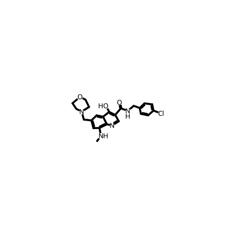 CNc1cc(CN2CCOCC2)cc2c(O)c(C(=O)NCc3ccc(Cl)cc3)cnc12